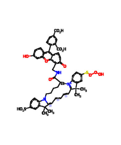 CC[N+]1=C(/C=C/C=C/C=C2\N(CCCCCC(=O)NCc3c4oc5cc(O)ccc5c(-c5ccc(C(=O)O)cc5C(=O)O)c-4ccc3=O)c3ccc(S(=O)(=O)O)cc3C2(C)C)C(C)(C)c2cc(SOOO)ccc21